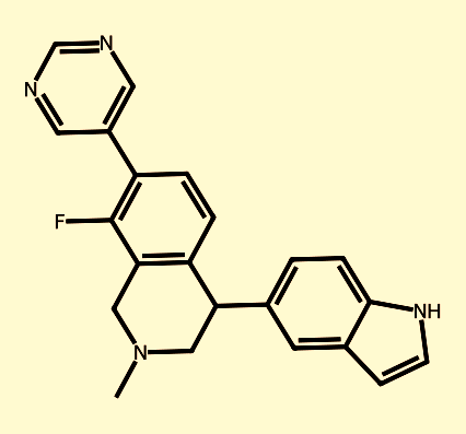 CN1Cc2c(ccc(-c3cncnc3)c2F)C(c2ccc3[nH]ccc3c2)C1